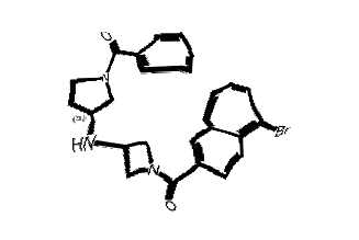 O=C(c1ccc2c(Br)cccc2c1)N1CC(N[C@H]2CCN(C(=O)c3ccccc3)C2)C1